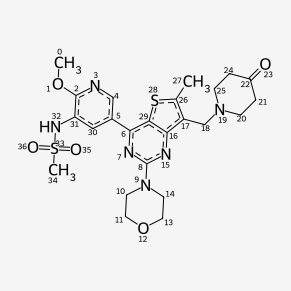 COc1ncc(-c2nc(N3CCOCC3)nc3c(CN4CCC(=O)CC4)c(C)sc23)cc1NS(C)(=O)=O